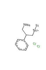 C[CH2][Sn+2][CH2]C(CNC)c1ccccc1.[Cl-].[Cl-]